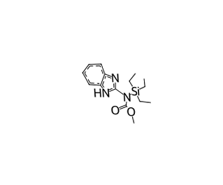 CC[Si](CC)(CC)N(C(=O)OC)c1nc2ccccc2[nH]1